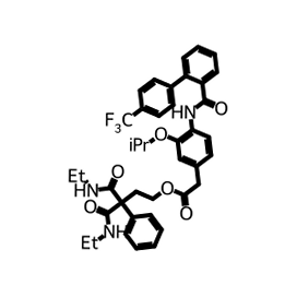 CCNC(=O)C(CCOC(=O)Cc1ccc(NC(=O)c2ccccc2-c2ccc(C(F)(F)F)cc2)c(OC(C)C)c1)(C(=O)NCC)c1ccccc1